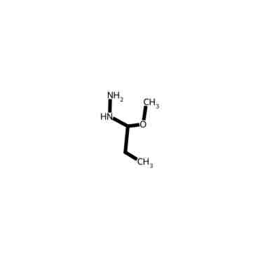 CCC(NN)OC